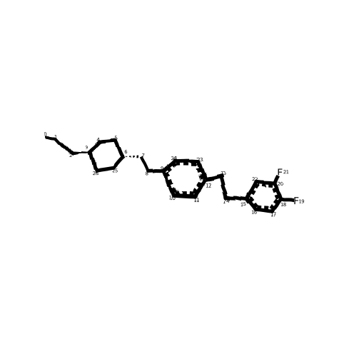 CCC[C@H]1CC[C@H](CCc2ccc(CCc3ccc(F)c(F)c3)cc2)CC1